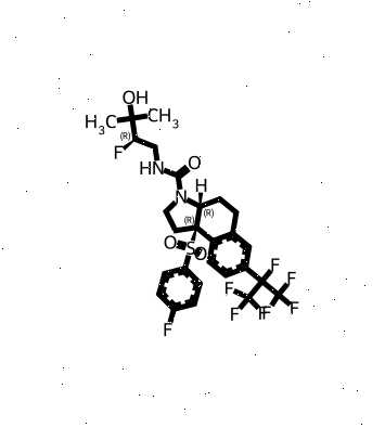 CC(C)(O)[C@H](F)CNC(=O)N1CC[C@@]2(S(=O)(=O)c3ccc(F)cc3)c3ccc(C(F)(C(F)(F)F)C(F)(F)F)cc3CC[C@@H]12